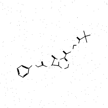 CC(C)(C)C(=O)OCOC(=O)C1=NCSC2C(NC(=O)COc3ccccc3)C(=O)N12